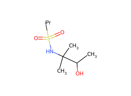 CC(O)C(C)(C)NS(=O)(=O)C(C)C